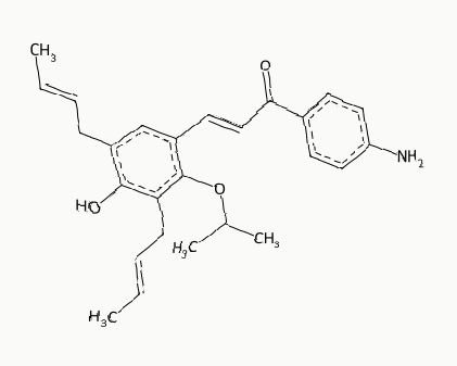 C/C=C/Cc1cc(/C=C/C(=O)c2ccc(N)cc2)c(OC(C)C)c(C/C=C/C)c1O